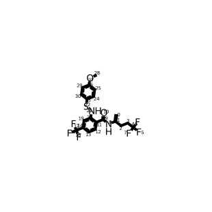 C=C(CCC(F)(F)F)NC(=O)c1ccc(C(F)(F)F)cc1NSc1ccc(OC)cc1